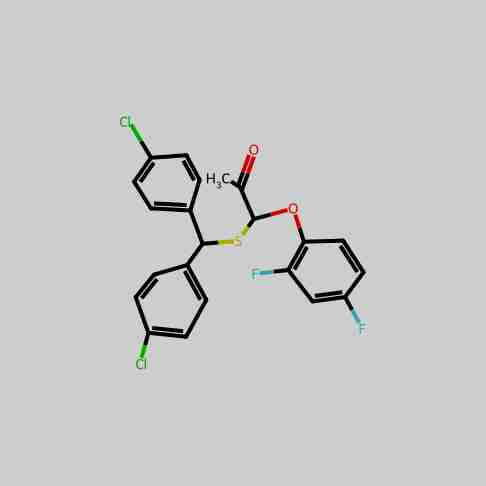 CC(=O)C(Oc1ccc(F)cc1F)SC(c1ccc(Cl)cc1)c1ccc(Cl)cc1